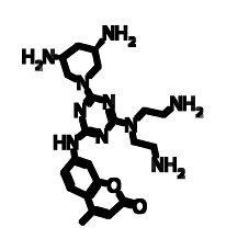 Cc1cc(=O)oc2cc(Nc3nc(N(CCN)CCN)nc(N4C[C@H](N)C[C@H](N)C4)n3)ccc12